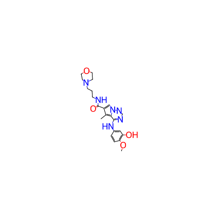 COc1ccc(Nc2ncnn3cc(C(=O)NCCCN4CCOCC4)c(C)c23)cc1O